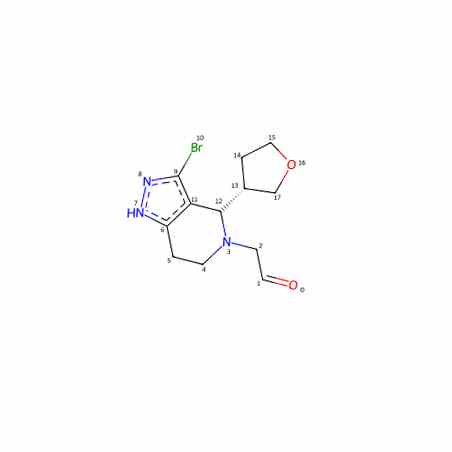 O=CCN1CCc2[nH]nc(Br)c2C1[C@@H]1CCOC1